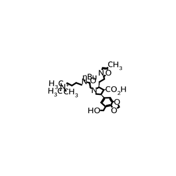 CCCCN(CCCC[N+](C)(C)C)C(=O)CN1C[C@H](c2cc(CO)c3c(c2)OCO3)[C@@H](C(=O)O)[C@@H]1CCc1ncc(C)o1